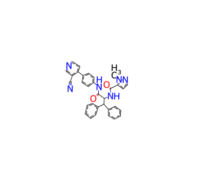 Cn1nccc1C(=O)NC(C(=O)Nc1ccc(-c2ccncc2C#N)cc1)C(c1ccccc1)c1ccccc1